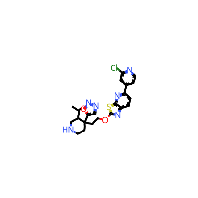 CC(C)C1CNCCC1(CCOc1nc2ccc(-c3ccnc(Cl)c3)nc2s1)c1cnno1